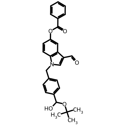 CC(C)(C)OC(O)c1ccc(Cn2cc(C=O)c3cc(OC(=O)c4ccccc4)ccc32)cc1